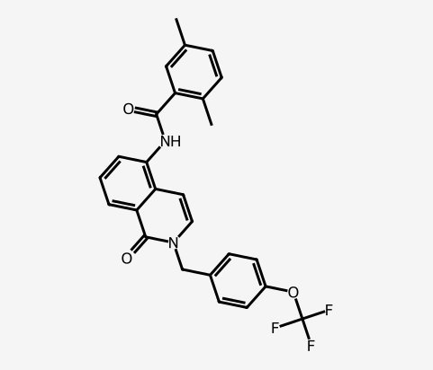 Cc1ccc(C)c(C(=O)Nc2cccc3c(=O)n(Cc4ccc(OC(F)(F)F)cc4)ccc23)c1